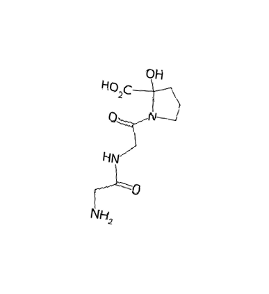 NCC(=O)NCC(=O)N1CCCC1(O)C(=O)O